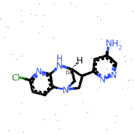 Nc1cnnc(C2CN3C[C@H]2Nc2nc(Cl)ccc23)c1